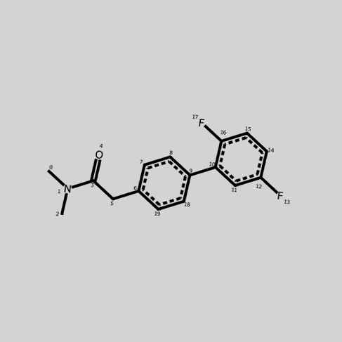 CN(C)C(=O)Cc1ccc(-c2cc(F)ccc2F)cc1